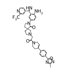 Cc1noc(-c2ccc(C3=CCN(C(=O)CN4CC[C@]5(CCN(c6ccc(N)c(C(=N)c7ccnc(C(F)(F)F)c7)c6)C5=O)C4)CC3)cc2)n1